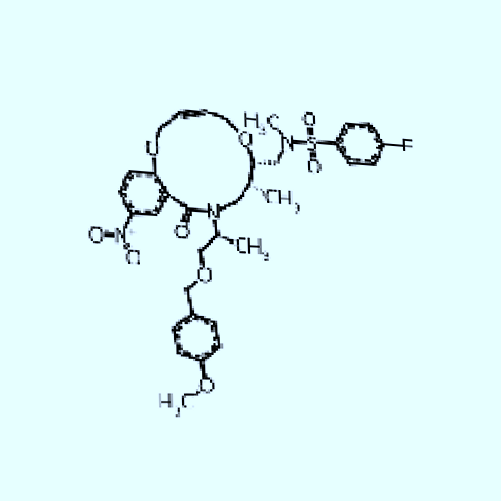 COc1ccc(COC[C@H](C)N2C[C@@H](C)[C@@H](CN(C)S(=O)(=O)c3ccc(F)cc3)OCC=CCOc3ccc([N+](=O)[O-])cc3C2=O)cc1